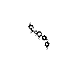 Nc1cnc(C(=O)NC[C@@H]2CCS[C@H](c3ccc(Oc4ccc(Cl)cc4)cc3)C(=O)N2)nc1